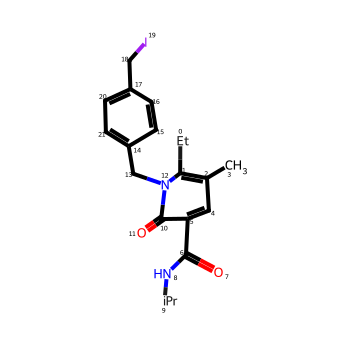 CCc1c(C)cc(C(=O)NC(C)C)c(=O)n1Cc1ccc(CI)cc1